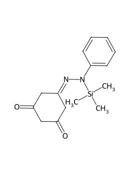 C[Si](C)(C)N(N=C1CC(=O)CC(=O)C1)c1ccccc1